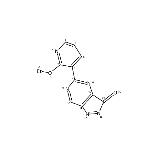 CCOc1ncccc1-c1ncc2c(n1)C(=O)N=N2